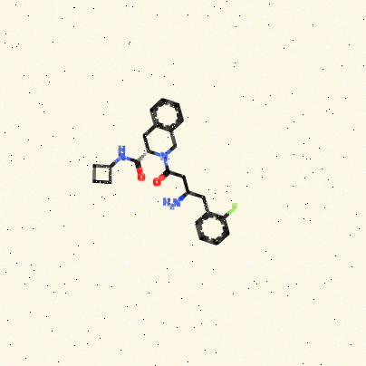 N[C@@H](CC(=O)N1Cc2ccccc2C[C@H]1C(=O)NC1CCC1)Cc1ccccc1F